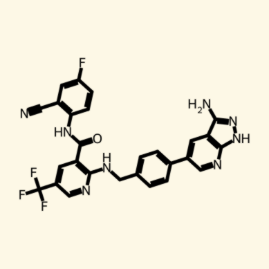 N#Cc1cc(F)ccc1NC(=O)c1cc(C(F)(F)F)cnc1NCc1ccc(-c2cnc3[nH]nc(N)c3c2)cc1